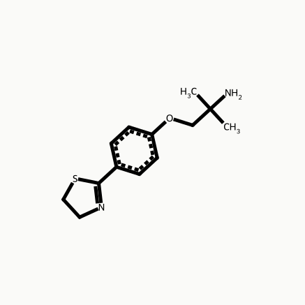 CC(C)(N)COc1ccc(C2=NCCS2)cc1